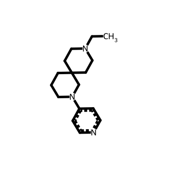 CCN1CCC2(CCCN(c3ccncc3)C2)CC1